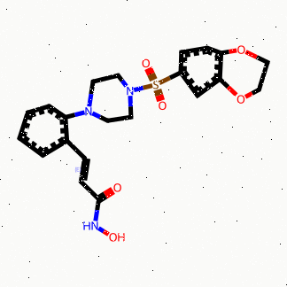 O=C(/C=C/c1ccccc1N1CCN(S(=O)(=O)c2ccc3c(c2)OCCO3)CC1)NO